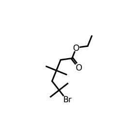 CCOC(=O)CC(C)(C)CC(C)(C)Br